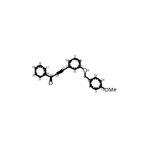 COc1ccc(COc2cccc(C#CC(=O)c3ccccc3)c2)cc1